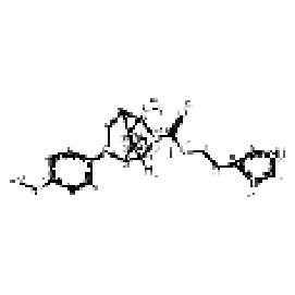 CCOc1ccc(N2CC3CN(C(=O)NCCc4c[nH]cn4)CC2[C@@H](C)[C@@H]3C)cc1